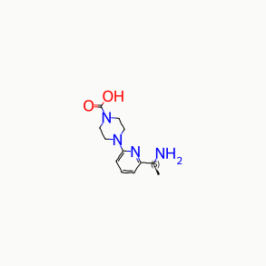 C[C@H](N)c1cccc(N2CCN(C(=O)O)CC2)n1